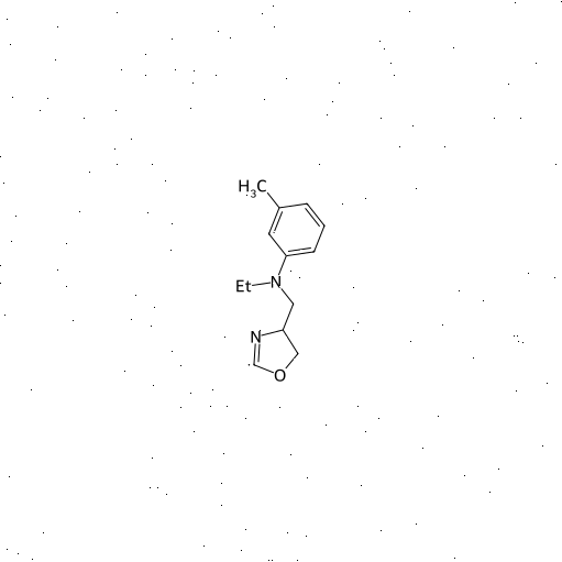 CCN(CC1CO[C]=N1)c1cccc(C)c1